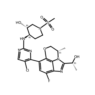 C[C@@H](O)c1nc2c(F)cc(-c3nc(N[C@@H]4CCN(S(C)(=O)=O)C[C@H]4O)ncc3Cl)c3c2n1[C@@H](C)CO3